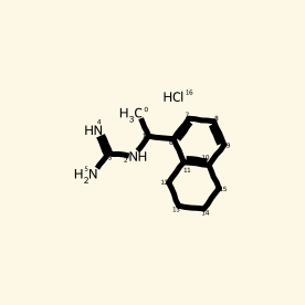 CC(NC(=N)N)c1cccc2c1CCCC2.Cl